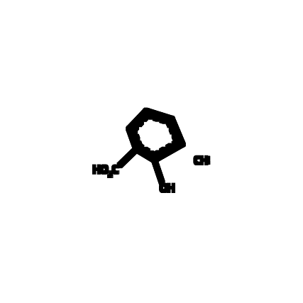 O=C(O)c1ccccc1O.[CH]